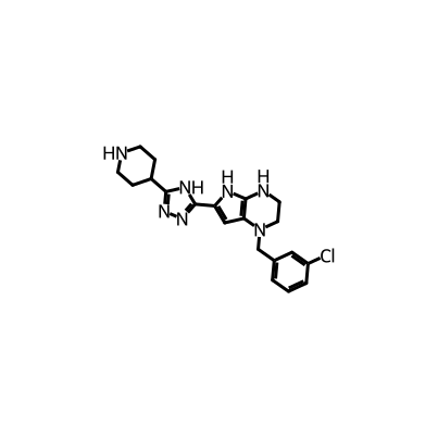 Clc1cccc(CN2CCNc3[nH]c(-c4nnc(C5CCNCC5)[nH]4)cc32)c1